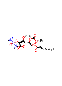 CCCCOC1=C(OP(=O)(N(C)C)N(C)C)C(=O)OC1C(COC(=O)CCC(=O)O)OC(=O)OC(C)(C)C